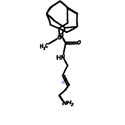 COC12CC3CC(C1)C(OC(=O)NC/C=C/CN)C(C3)C2